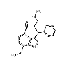 CNCCC(c1ccccc1)c1c[nH]c2c(OC)ccc(C#N)c12